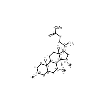 COC(=O)CC[C@@H](C)[C@H]1C[C@H](O)[C@H]2C3C(CCC12C)C1(C)CC[C@@H](O)CC1C[C@H]3O